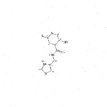 CC1CCC(C(C)C)C(C(=O)NCC2CCCO2)C1